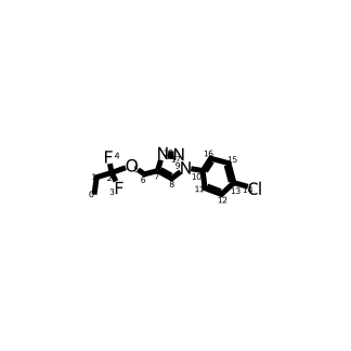 CCC(F)(F)OCc1cn(-c2ccc(Cl)cc2)nn1